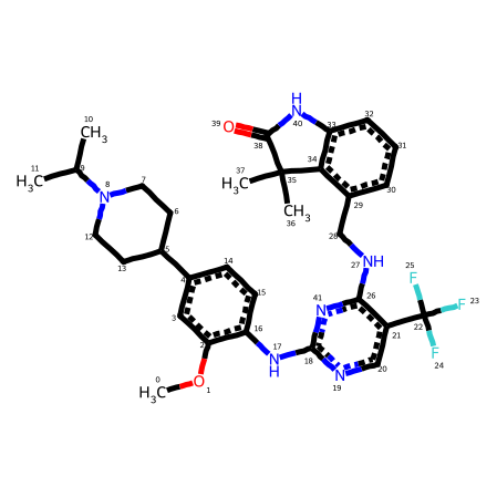 COc1cc(C2CCN(C(C)C)CC2)ccc1Nc1ncc(C(F)(F)F)c(NCc2cccc3c2C(C)(C)C(=O)N3)n1